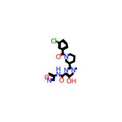 CN1CC(O)=C(C(=O)Nc2cnoc2)N=C1C1CCCN(C(=O)c2cccc(Cl)c2)C1